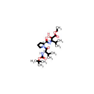 CCOC(=O)C(O)C(NC(=O)[C@@H]1CCCN1C(=O)[C@@H](NC(=O)OC(C)(C)C)C(C)C)C(C)C